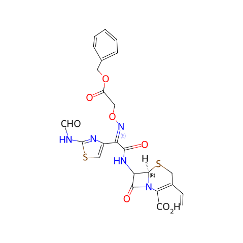 C=CC1=C(C(=O)O)N2C(=O)C(NC(=O)/C(=N/OCC(=O)OCc3ccccc3)c3csc(NC=O)n3)[C@H]2SC1